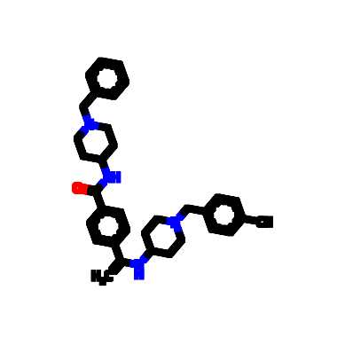 C=C(NC1CCN(Cc2ccc(C#N)cc2)CC1)c1ccc(C(=O)NC2CCN(Cc3ccccc3)CC2)cc1